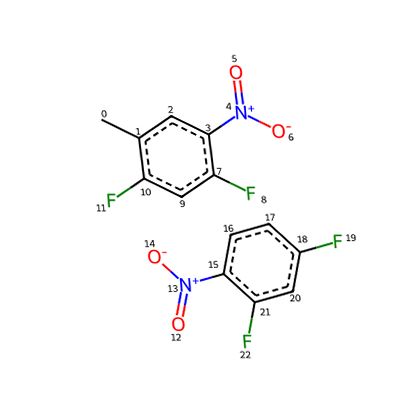 Cc1cc([N+](=O)[O-])c(F)cc1F.O=[N+]([O-])c1ccc(F)cc1F